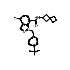 CC(C)(C)c1ccc(Cn2ncc3c(Cl)ccc(C(=O)NC4CC5(CCC5)C4)c32)cc1